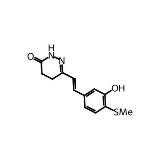 CSc1ccc(C=CC2=NNC(=O)CC2)cc1O